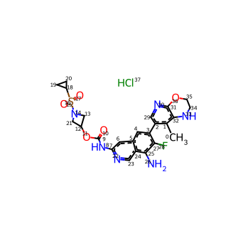 Cc1c(-c2cc3cc(NC(=O)OC4CN(S(=O)(=O)C5CC5)C4)ncc3c(N)c2F)cnc2c1NCCO2.Cl